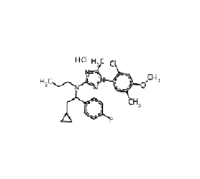 CCCN(c1nc(C)n(-c2cc(C)c(OC)cc2Cl)n1)C(CC1CC1)c1ccc(F)cc1.Cl